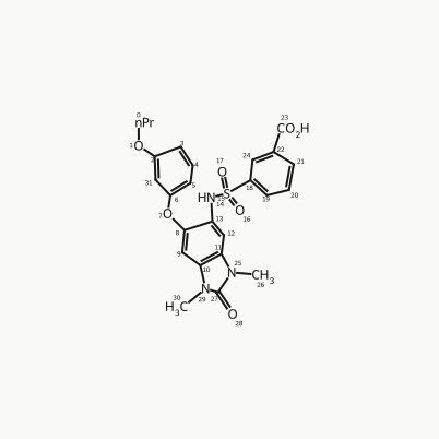 CCCOc1cccc(Oc2cc3c(cc2NS(=O)(=O)c2cccc(C(=O)O)c2)n(C)c(=O)n3C)c1